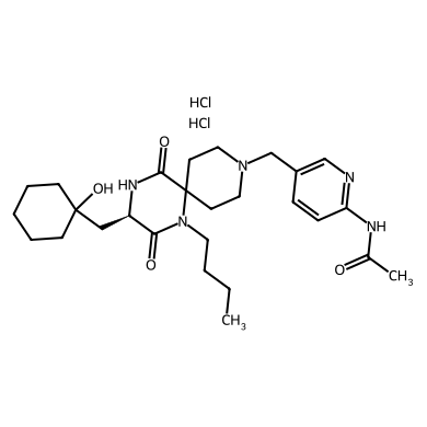 CCCCN1C(=O)[C@@H](CC2(O)CCCCC2)NC(=O)C12CCN(Cc1ccc(NC(C)=O)nc1)CC2.Cl.Cl